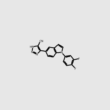 N#Cc1[nH]nnc1-c1ccc2c(ccn2-c2ccc(F)c(F)c2)c1